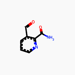 NC(=O)c1ncccc1[C]=O